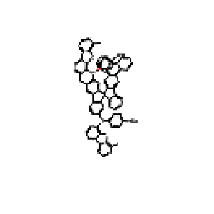 Cc1cccc2c1oc1c(N(c3ccc(C(C)(C)C)cc3)c3ccc4c(c3)C3(c5ccccc5-c5cc6c7ccccc7c7ccccc7c6cc53)c3cc5c(cc3-4)Cc3ccc4c(oc6c(C)cccc64)c3N5c3ccc(C(C)(C)C)cc3)cccc12